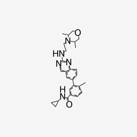 Cc1ccc(C(=O)NC2CC2)cc1-c1ccc2nc(NCCN3C(C)COCC3C)ncc2c1